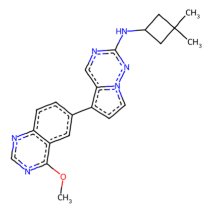 COc1ncnc2ccc(-c3ccn4nc(NC5CC(C)(C)C5)ncc34)cc12